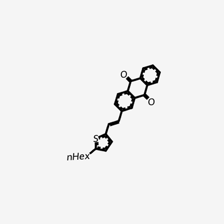 CCCCCCc1ccc(/C=C/c2ccc3c(c2)C(=O)c2ccccc2C3=O)s1